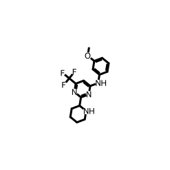 COc1cccc(Nc2cc(C(F)(F)F)nc(C3CCCCN3)n2)c1